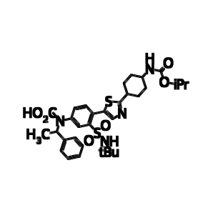 CC(C)OC(=O)NC1CCC(c2ncc(-c3ccc(N(C(=O)O)C(C)c4ccccc4)cc3S(=O)(=O)NC(C)(C)C)s2)CC1